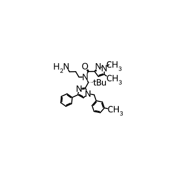 Cc1cccc(Cn2cc(-c3ccccc3)nc2[C@H](N(CCCN)C(=O)c2cc(C)n(C)n2)C(C)(C)C)c1